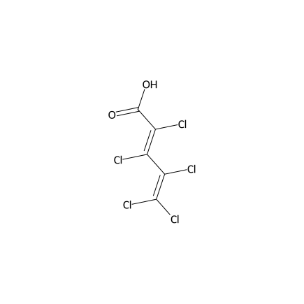 O=C(O)C(Cl)=C(Cl)C(Cl)=C(Cl)Cl